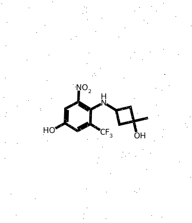 CC1(O)CC(Nc2c([N+](=O)[O-])cc(O)cc2C(F)(F)F)C1